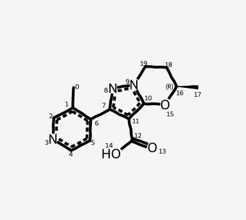 Cc1cnccc1-c1nn2c(c1C(=O)O)O[C@H](C)CC2